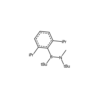 CC(C)c1cccc(C(C)C)c1B(N(C)C(C)(C)C)C(C)(C)C